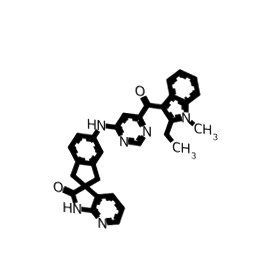 CCc1c(C(=O)c2cc(Nc3ccc4c(c3)CC3(C4)C(=O)Nc4ncccc43)ncn2)c2ccccc2n1C